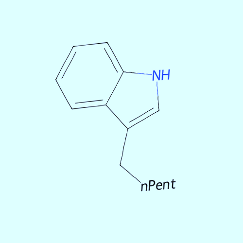 [CH2]CCCCCc1c[nH]c2ccccc12